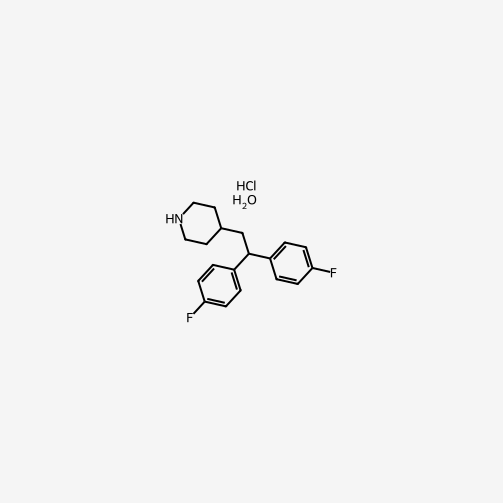 Cl.Fc1ccc(C(CC2CCNCC2)c2ccc(F)cc2)cc1.O